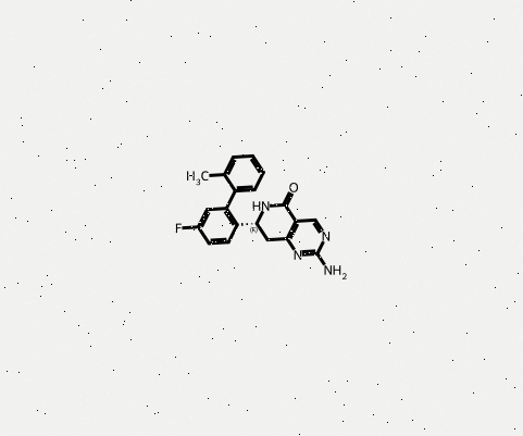 Cc1ccccc1-c1cc(F)ccc1[C@H]1Cc2nc(N)ncc2C(=O)N1